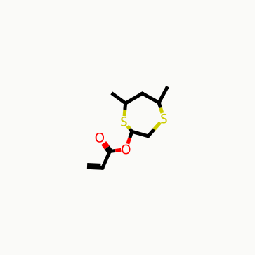 C=CC(=O)OC1CSC(C)CC(C)S1